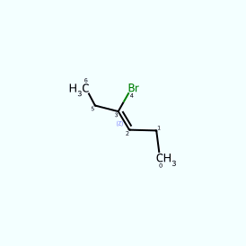 CC/C=C(\Br)CC